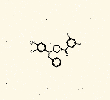 Nc1ccc(N(Cc2ccccc2)[C@H]2CCN(C(=O)c3cc(F)cc(F)c3)C2)cc1Cl